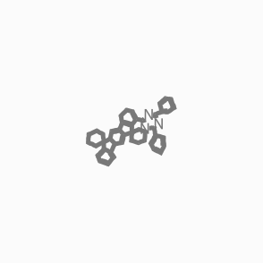 C1=C2C(=CC3c4ccccc4C4(CCCCC4)C13)C1(CCCCC1)C1=C2CCC=C1c1nc(-c2ccccc2)nc(-c2ccccc2)n1